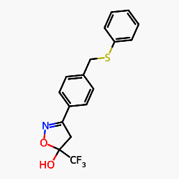 OC1(C(F)(F)F)CC(c2ccc(CSc3ccccc3)cc2)=NO1